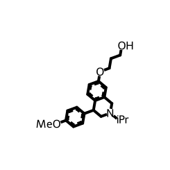 COc1ccc(C2CN(C(C)C)Cc3cc(OCCCO)ccc32)cc1